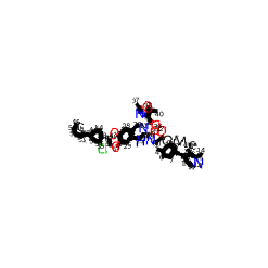 COC(=O)[C@H](Cc1ccc(-c2ccnc(C)c2C)cc1)NC(=O)[C@@H]1Cc2cc3c(cc2CN1C(=O)c1nc(C)oc1C)O[C@@H](c1ccc(-c2ccccc2)cc1Cl)CO3